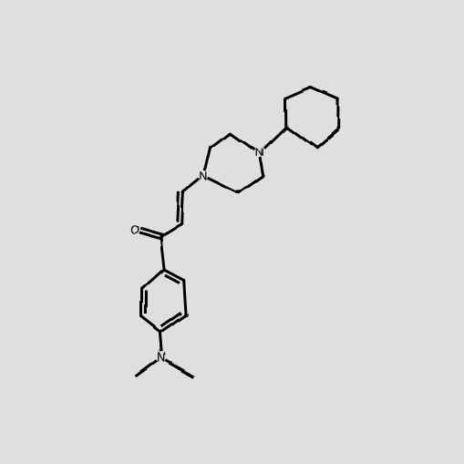 CN(C)c1ccc(C(=O)C=CN2CCN(C3CCCCC3)CC2)cc1